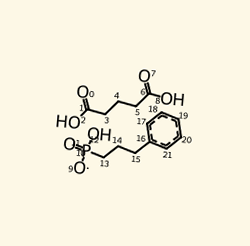 O=C(O)CCCC(=O)O.[O]P(=O)(O)CCCc1ccccc1